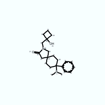 CN(C)C1(c2ccccc2)CCC2(CC1)CC(=O)N(CC1(O)CCC1)C2